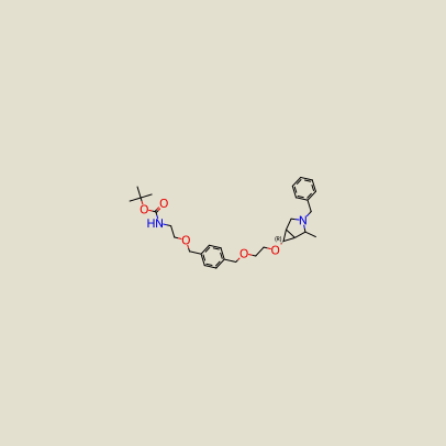 CC1C2C(CN1Cc1ccccc1)[C@H]2OCCOCc1ccc(COCCNC(=O)OC(C)(C)C)cc1